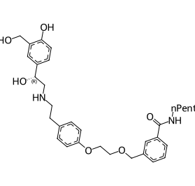 CCCCCNC(=O)c1cccc(COCCOc2ccc(CCNC[C@H](O)c3ccc(O)c(CO)c3)cc2)c1